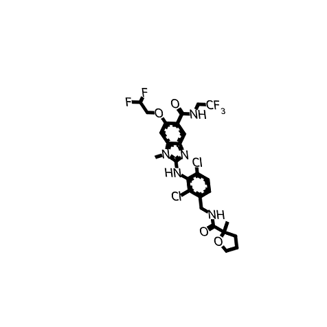 Cn1c(Nc2c(Cl)ccc(CNC(=O)C3(C)CCCO3)c2Cl)nc2cc(C(=O)NCC(F)(F)F)c(OCC(F)F)cc21